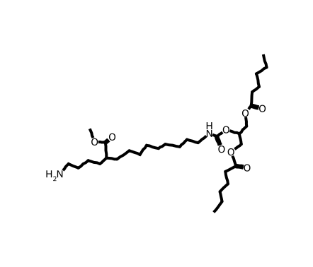 CCCCCC(=O)OCC(COC(=O)CCCCC)OC(=O)NCCCCCCCCCC(CCCCN)C(=O)OC